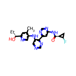 CC[C@@H](O)c1cc(C)c(Nc2cncnc2-c2cc(NC(=O)[C@H]3C[C@H]3F)ncn2)cn1